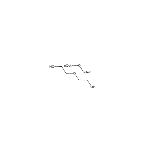 CCCCCCCCOCCCCCC.OCCOCCO